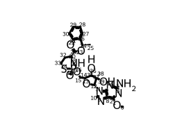 COc1nc(N)nc2c1ncn2[C@@H]1OC(CO[P@@]2(=O)N[C@H](C(=O)O[C@H](C)c3ccccc3)CCS2)[C@@H](O)[C@@]1(C)O